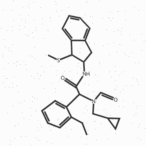 CCc1ccccc1C(C(=O)NC1Cc2ccccc2C1SC)N(C=O)CC1CC1